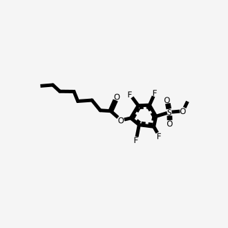 CCCCCCCC(=O)Oc1c(F)c(F)c(S(=O)(=O)OC)c(F)c1F